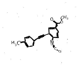 COC(=O)c1ccc(N=C=O)c(C#Cc2ccc(C)cc2)c1